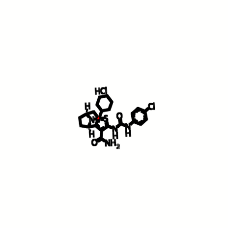 Cl.NC(=O)c1c(NC(=O)Nc2ccc(Cl)cc2)sc2c1[C@H]1CC[C@@H](C2)N1CC1CCCCC1